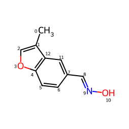 Cc1coc2ccc(C=NO)cc12